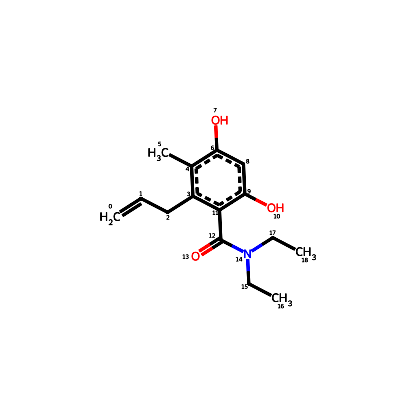 C=CCc1c(C)c(O)cc(O)c1C(=O)N(CC)CC